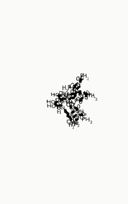 O=C(CN(CCN(CCN(CC(=O)OP)CC(=O)OP)C(CCCCNCC(O)C(O)C(OC1OC(CNCCCCC(C(=O)OP)N(CCN(CC(=O)OP)CC(=O)OP)CCN(CC(=O)OP)CC(=O)OP)C(O)C(O)C1O)C(O)CO)C(=O)OP)CC(=O)OP)OP